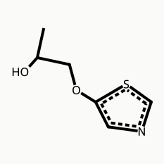 CC(O)COc1cncs1